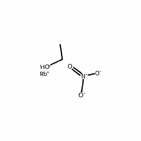 CCO.O=[N+]([O-])[O-].[Rb+]